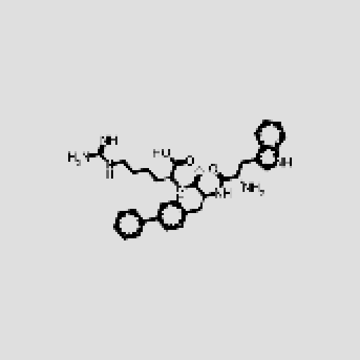 N=C(N)NCCCC[C@H](NC(=O)[C@H](Cc1ccc(-c2ccccc2)cc1)NC(=O)[C@@H](N)Cc1c[nH]c2ccccc12)C(=O)O